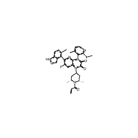 C=CC(=O)N1[C@H](C)CC(n2c(=O)c(=O)n(-c3c(C)ccnc3C(C)C)c3nc(-c4c(C)ccc5[nH]ncc45)c(F)cc32)C[C@@H]1C